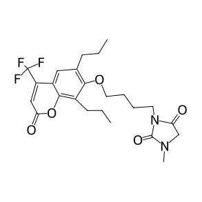 CCCc1cc2c(C(F)(F)F)cc(=O)oc2c(CCC)c1OCCCCN1C(=O)CN(C)C1=O